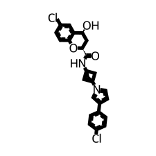 O=C(NC12CC(n3ccc(-c4ccc(Cl)cc4)c3)(C1)C2)[C@H]1C[C@@H](O)c2cc(Cl)ccc2O1